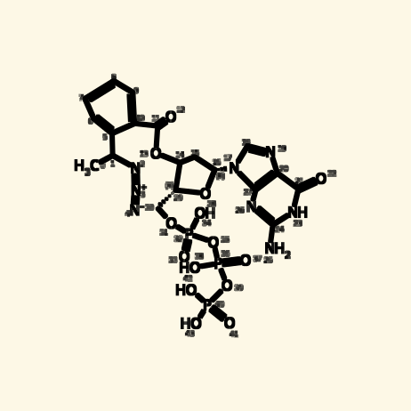 CC(N=[N+]=[N-])c1ccccc1C(=O)OC1C[C@H](n2cnc3c(=O)[nH]c(N)nc32)O[C@@H]1COP(=O)(O)OP(=O)(O)OP(=O)(O)O